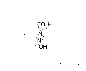 CC(O)N1CCN(C(C)CC(=O)O)CC1